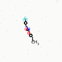 CCCCc1ccc(OCc2coc(/C=C/c3ccc(C(F)(F)F)cc3)n2)cc1